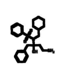 NCCC(O)(Cc1ccccc1)N(CC1CCCCC1)S(=O)(=O)c1ccccc1